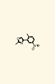 Cc1nc(-c2cc([N+](=O)[O-])ccc2C)co1